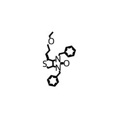 CCOCCC=C1SCC2C1N(Cc1ccccc1)C(=O)N2Cc1ccccc1